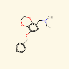 CN(C=O)Cc1ccc(OCc2ccccc2)c2c1OCCO2